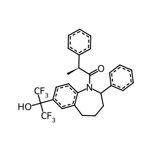 C[C@H](C(=O)N1c2ccc(C(O)(C(F)(F)F)C(F)(F)F)cc2CCCC1c1ccccc1)c1ccccc1